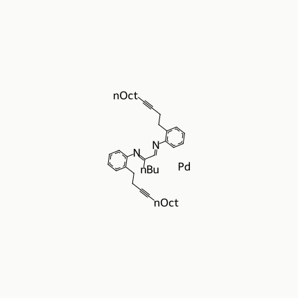 CCCCCCCCC#CCCc1ccccc1N=CC(CCCC)=Nc1ccccc1CCC#CCCCCCCCC.[Pd]